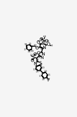 COc1nc(-c2nnc(C(c3nc4ccc(-c5ccc(F)cc5)cc4s3)S(C)(=O)=O)o2)c(OCc2ccccc2)c(=O)n1S(C)(=O)=O